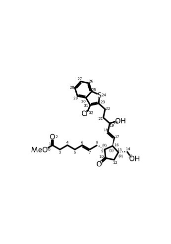 COC(=O)CCCC=CC[C@H]1C(=O)C[C@@H](CO)[C@@H]1C=CC(O)CCc1sc2ccccc2c1Cl